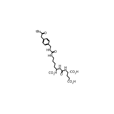 CC(C)(C)C(=O)Cc1ccc(CNC(=O)NCCCCC(NC(=O)N[C@@H](CCC(=O)O)C(=O)O)C(=O)O)cc1